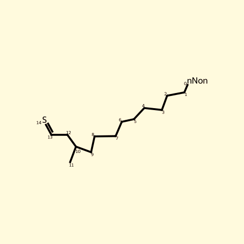 CCCCCCCCCCCCCCCCCCC(C)CC=S